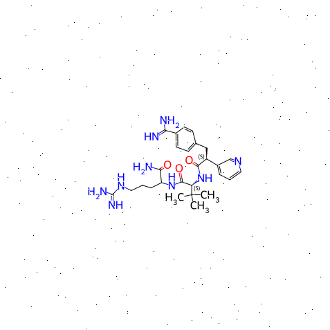 CC(C)(C)[C@H](NC(=O)[C@@H](Cc1ccc(C(=N)N)cc1)c1cccnc1)C(=O)NC(CCCNC(=N)N)C(N)=O